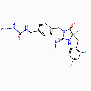 CCCCNC(=O)NCc1ccc(CN2C(=O)[C@@](C)(Cc3ccc(F)cc3F)N/C2=N\C)cc1